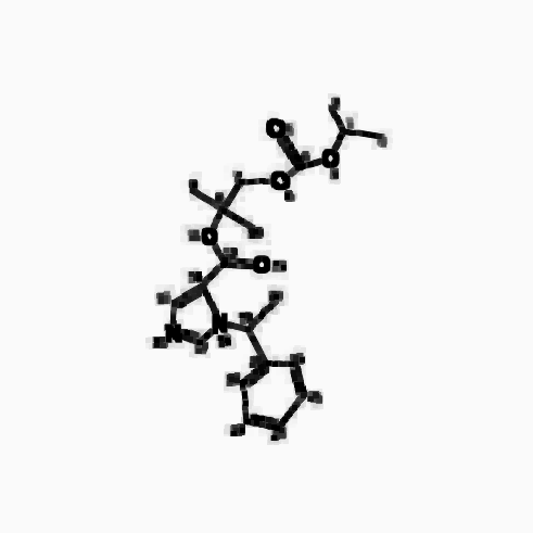 CC(C)OC(=O)OCC(C)(C)OC(=O)c1cncn1C(C)c1ccccc1